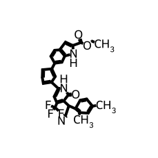 CCOC(=O)c1cc2ccc(-c3cccc(-c4cc(C(F)(F)F)c(C(C#N)c5ccc(C)cc5C)c(=O)[nH]4)c3)cc2[nH]1